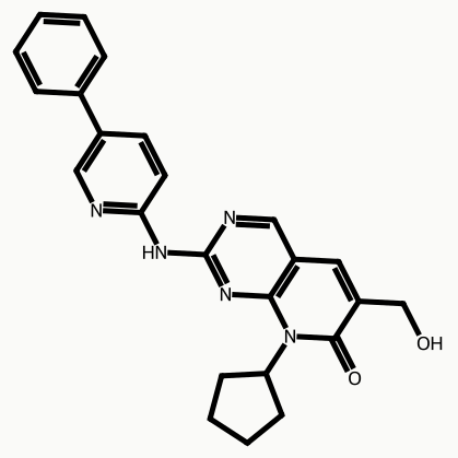 O=c1c(CO)cc2cnc(Nc3ccc(-c4ccccc4)cn3)nc2n1C1CCCC1